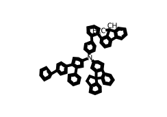 CC1(C)c2ccccc2-c2cccc(-c3ccccc3-c3ccc(N(c4ccc(-c5ccc(-c6ccccc6)cc5)c(-c5ccccc5)c4)c4ccc5c(c4)C4(CCc6ccccc64)c4ccccc4-5)cc3)c21